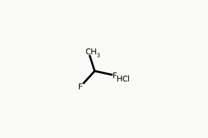 CC(F)F.Cl